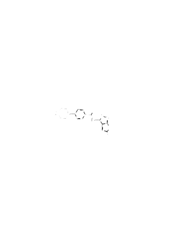 O=C(Nc1n[nH]c2sc(C(=O)O)cc12)c1ccc(N2CCS(=O)(=O)CC2)cc1